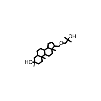 CC(C)(O)COCC1CCC2C3CCC4C[C@@](C)(O)CCC4(C)C3CCC12C